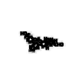 CC(C)(O)c1ccc(-c2c(S(C)(=O)=O)c([C@H]3C[C@H]4CC(N)[C@@H](C3)N4c3n[nH]c(C=O)n3)nc3ccnn23)cn1